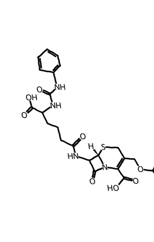 NC(=O)OCC1=C(C(=O)O)N2C(=O)C(NC(=O)CCCC(NC(=O)Nc3ccccc3)C(=O)O)[C@@H]2SC1